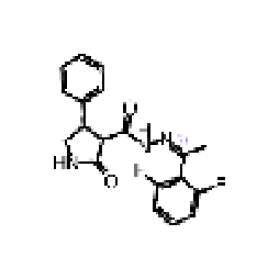 C/C(=N/NC(=O)C1C(=O)NCC1c1ccccc1)c1c(F)cccc1F